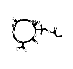 CCC(=O)OCC(C)(C)[C@H]1OC(=O)CC(C(=O)O)SCCNC(=O)CCNC1=O